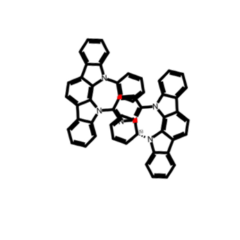 C1=CC[C@H](n2c3ccccc3c3ccc4c5ccccc5n(-c5ccc(-n6c7ccccc7c7ccc8c9ccccc9n(-c9ccccc9)c8c76)nn5)c4c32)C=C1